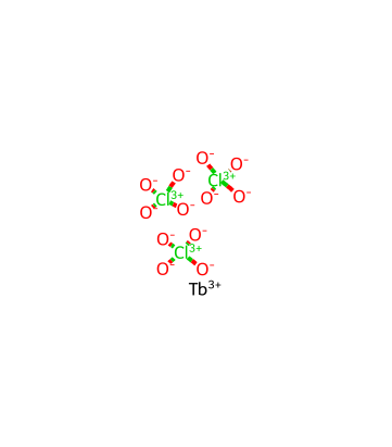 [O-][Cl+3]([O-])([O-])[O-].[O-][Cl+3]([O-])([O-])[O-].[O-][Cl+3]([O-])([O-])[O-].[Tb+3]